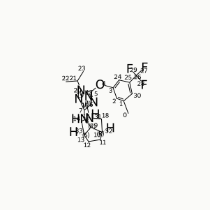 Cc1cc(Oc2nc(N[C@H]3[C@@H]4CC[C@H]3CN(C#N)C4)nn2C(C)C)cc(C(F)(F)F)c1